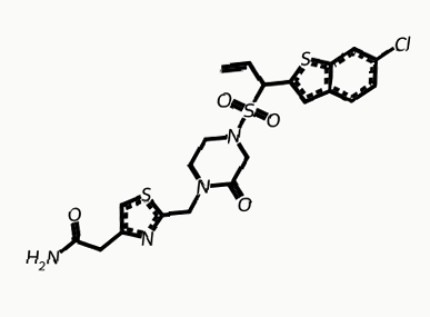 C=CC(c1cc2ccc(Cl)cc2s1)S(=O)(=O)N1CCN(Cc2nc(CC(N)=O)cs2)C(=O)C1